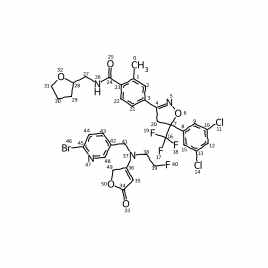 Cc1cc(C2=NOC(c3cc(Cl)cc(Cl)c3)(C(F)(F)F)C2)ccc1C(=O)NCC1CCCO1.O=C1C=C(N(CCF)Cc2ccc(Br)nc2)CO1